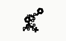 COC(=O)C[C@](C)(NC(=O)OC(C)(C)C)c1cccc(NC(=O)OCc2ccccc2)c1Cl